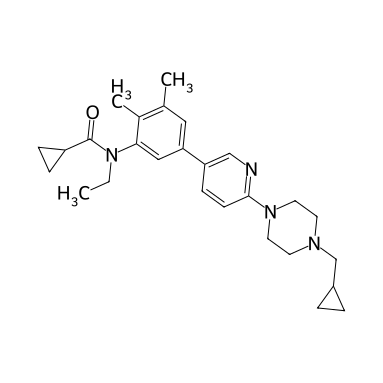 CCN(C(=O)C1CC1)c1cc(-c2ccc(N3CCN(CC4CC4)CC3)nc2)cc(C)c1C